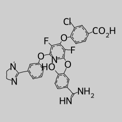 CN1CCN=C1c1cccc(Oc2nc(Oc3cc(C(=N)N)ccc3O)c(F)c(Oc3ccc(C(=O)O)cc3Cl)c2F)c1